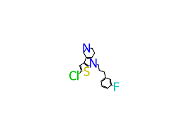 CN1CCc2c(c3cc(Cl)sc3n2CCCc2cccc(F)c2)C1